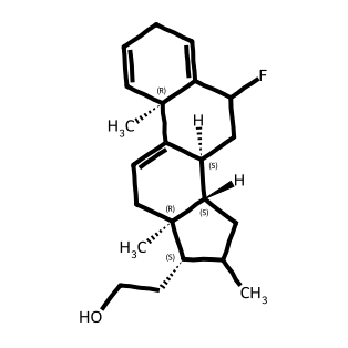 CC1C[C@H]2[C@@H]3CC(F)C4=CCC=C[C@]4(C)C3=CC[C@]2(C)[C@H]1CCO